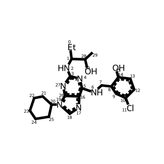 CCC(Nc1nc(NCc2cc(Cl)ccc2O)c2ncn(C3CCCCC3)c2n1)C(C)O